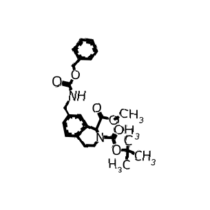 COC(=O)C1c2cc(CNC(=O)OCc3ccccc3)ccc2CCN1C(=O)OC(C)(C)C